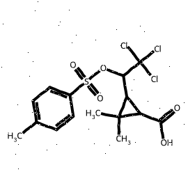 Cc1ccc(S(=O)(=O)OC(C2C(C(=O)O)C2(C)C)C(Cl)(Cl)Cl)cc1